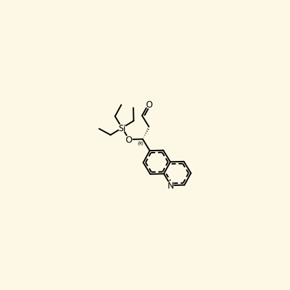 CC[Si](CC)(CC)O[C@H](CC=O)c1ccc2ncccc2c1